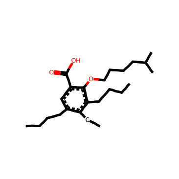 CCCCc1cc(C(=O)O)c(OCCCCC(C)C)c(CCCC)c1CC